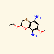 CCOC1CSc2c(N)cc(OC)c(N)c2O1